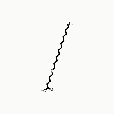 CCCCCCCCCCCCCCSCCCCC(=O)O